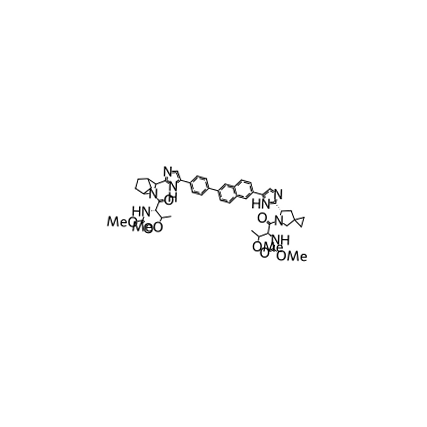 COC(=O)N[C@H](C(=O)N1C2CCC(C2)C1c1ncc(-c2ccc(-c3ccc4cc(-c5cnc([C@@H]6CC7(CC7)CN6C(=O)[C@@H](NC(=O)OC)C(C)OC)[nH]5)ccc4c3)cc2)[nH]1)C(C)OC